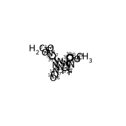 C=CS(=O)(=O)N1CCC(c2nc(N3CCOCC3)nc(-n3c(C(F)F)nc4c(OC)cccc43)n2)CC1